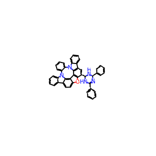 c1ccc(C2=NC(c3ccccc3)NC(c3cc4c5ccccc5n5c6ccccc6n6c7ccccc7c7ccc8oc3c(c8c76)c45)N2)cc1